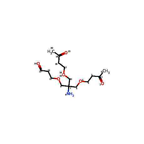 CC(=O)CCOCC(N)(COCCC=O)COCCC(C)=O